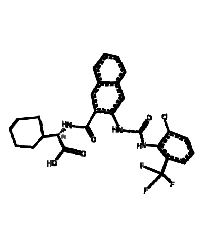 O=C(Nc1cc2ccccc2cc1C(=O)N[C@H](C(=O)O)C1CCCCC1)Nc1c(Cl)cccc1C(F)(F)F